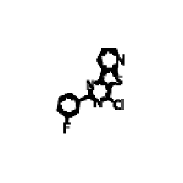 Fc1cccc(-c2nc(Cl)c3sc4ncccc4c3n2)c1